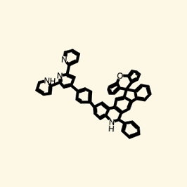 C1=CCNC(c2cc(-c3ccc(-c4ccc5c(c4)-c4cc6c(cc4C(c4ccccc4)N5)-c4ccccc4C64c5ccccc5Oc5ccccc54)cc3)cc(-c3ccccn3)n2)=C1